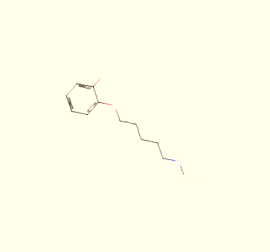 CCCCCNCCCCCOc1ccccc1[O]